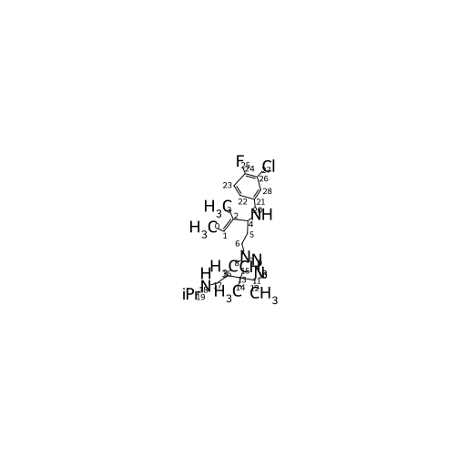 C/C=C(\C)C(CCN(C)/N=N\[C@H](C)C(C)(C)CCNC(C)C)Nc1ccc(F)c(Cl)c1